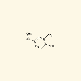 Cc1ccc(NC=O)cc1N